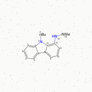 CCCCn1c2ccccc2c2cccc(NNC)c21